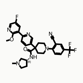 COc1ncc(F)cc1-c1ccc(C2(C(=O)N[C@@H]3CCN(C)C3)CCN(c3ccc(C(F)(F)F)cc3C#N)CC2)cn1